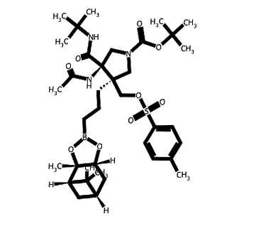 CC(=O)N[C@@]1(C(=O)NC(C)(C)C)CN(C(=O)OC(C)(C)C)C[C@@]1(CCCB1O[C@@H]2C[C@@H]3C[C@@H](C3(C)C)[C@]2(C)O1)COS(=O)(=O)c1ccc(C)cc1